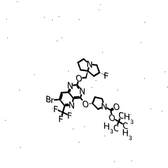 CC(C)(C)OC(=O)N1CC[C@@H](Oc2nc(OC[C@@]34CCCN3C[C@H](F)C4)nc3cc(Br)c(C(F)(F)F)nc23)C1